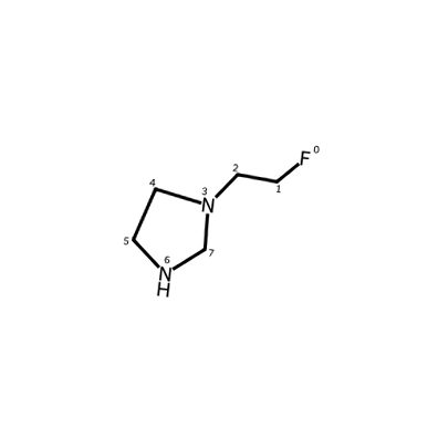 FCCN1CCNC1